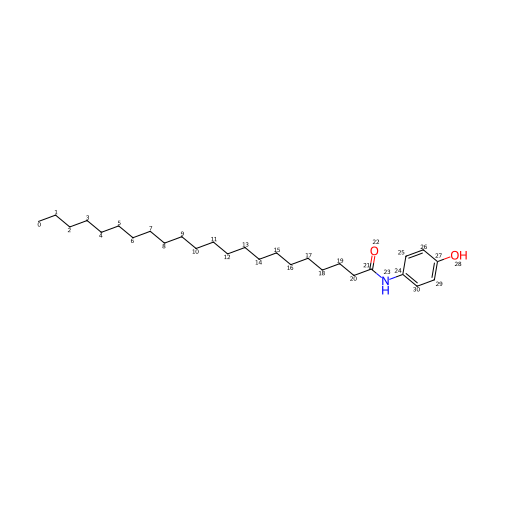 CCCCCCCCCCCCCCCCCCCCCC(=O)Nc1ccc(O)cc1